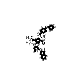 CC(C)c1cc(NC(=O)c2ccc(Oc3ccccc3)cc2)c(C(=O)O)cc1Oc1ccnc(NC2Cc3ccccc3C2)c1